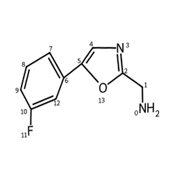 NCc1ncc(-c2cccc(F)c2)o1